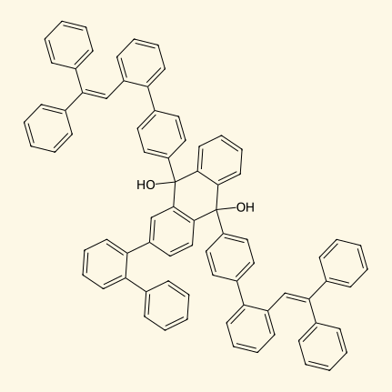 OC1(c2ccc(-c3ccccc3C=C(c3ccccc3)c3ccccc3)cc2)c2ccccc2C(O)(c2ccc(-c3ccccc3C=C(c3ccccc3)c3ccccc3)cc2)c2cc(-c3ccccc3-c3ccccc3)ccc21